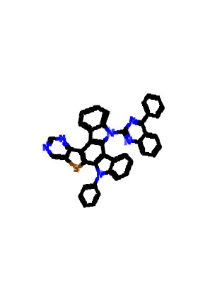 c1ccc(-c2nc(-n3c4ccccc4c4c5c6ncncc6sc5c5c(c6ccccc6n5-c5ccccc5)c43)nc3ccccc23)cc1